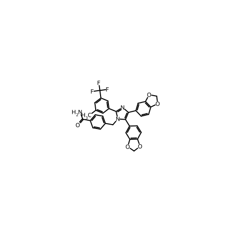 Cc1cc(-c2nc(-c3ccc4c(c3)OCO4)c(-c3ccc4c(c3)OCO4)n2Cc2ccc(C(N)=O)cc2)cc(C(F)(F)F)c1